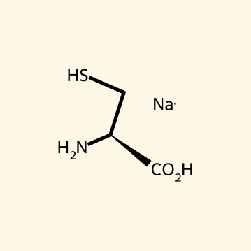 N[C@@H](CS)C(=O)O.[Na]